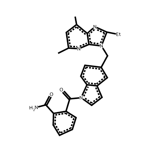 CCc1nc2c(C)cc(C)nc2n1Cc1ccc2c(ccn2C(=O)c2ccccc2C(N)=O)c1